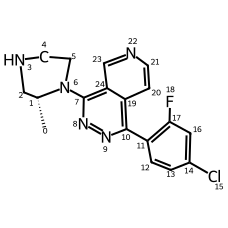 C[C@@H]1CNCCN1c1nnc(-c2ccc(Cl)cc2F)c2ccncc12